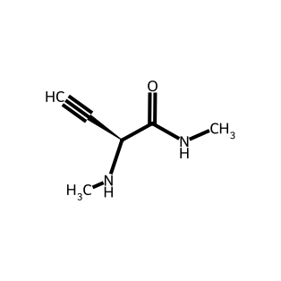 C#C[C@H](NC)C(=O)NC